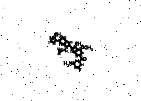 COc1cc(C(=O)N2C[C@H](N)C[C@@H](F)C2)cc2nc(-c3cc4ccc(-c5ccnn5C)nc4n3CC3CC3)n(C)c12